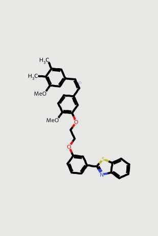 COc1ccc(/C=C\c2cc(C)c(C)c(OC)c2)cc1OCCOc1cccc(-c2nc3ccccc3s2)c1